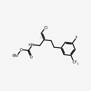 CC(C)(C)OC(=O)NC/C(=C/Cl)CCc1cc(F)cc(C(F)(F)F)c1